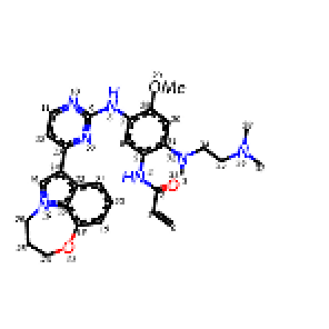 C=CC(=O)Nc1cc(Nc2nccc(-c3cn4c5c(cccc35)OCCC4)n2)c(OC)cc1N(C)CCN(C)C